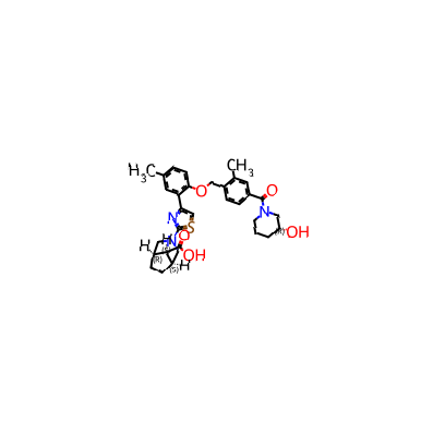 Cc1ccc(OCc2ccc(C(=O)N3CCC[C@@H](O)C3)cc2C)c(-c2csc(N3C[C@H]4CC[C@@H](C3)[C@H]4C(=O)O)n2)c1